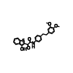 COc1ccc(CCc2ccc(NC(=O)C(=O)c3sc4ccccc4c3O)cc2)cc1OC